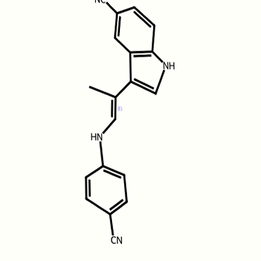 C/C(=C\Nc1ccc(C#N)cc1)c1c[nH]c2ccc(C#N)cc12